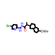 COc1ccc2cc(C(C)C(=O)NNc3ccc(Br)cn3)ccc2c1